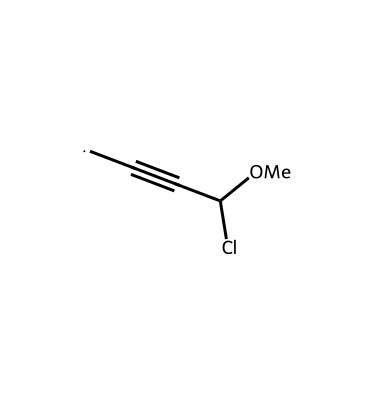 [CH2]C#CC(Cl)OC